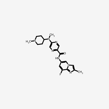 Cc1cn2cc(NC(=O)c3cnc(N(C)C4CCN(C)CC4)cn3)cc(F)c2n1